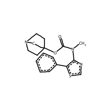 CN(C(=O)OC12CCN(CC1)CC2)c1ncsc1-c1ccccc1